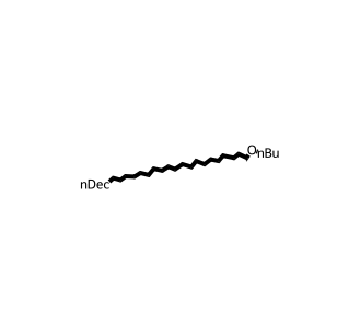 CCCCCCCCCCCCCCCCCCCCCCCCCCCCC[CH]OCCCC